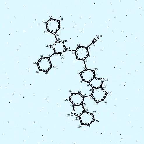 N#Cc1cc(-c2ccc3c(c2)oc2cccc(-c4cccc5sc6ccccc6c45)c23)cc(-c2nc(-c3ccccc3)nc(-c3ccccc3)n2)c1